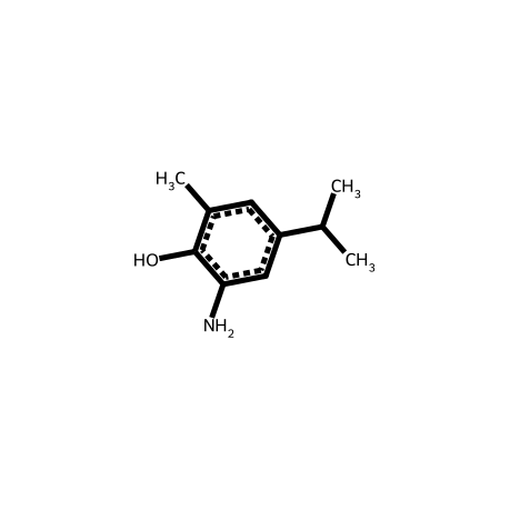 Cc1cc(C(C)C)cc(N)c1O